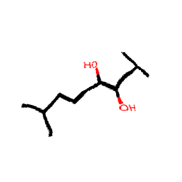 CC(C)CCC(O)C(O)C(C)C